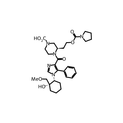 COC[C@]1(O)CCCC[C@H]1n1cnc(C(=O)N2CCN(C(=O)O)C[C@H]2CCOC(=O)N2CCCC2)c1-c1ccccc1